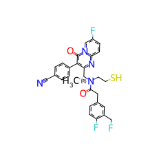 C[C@H](c1nc2ccc(F)cn2c(=O)c1-c1ccc(C#N)cc1)N(CCS)C(=O)Cc1ccc(F)c(CF)c1